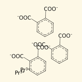 O=C([O-])c1ccccc1C(=O)[O-].O=C([O-])c1ccccc1C(=O)[O-].O=C([O-])c1ccccc1C(=O)[O-].[Pr+3].[Pr+3]